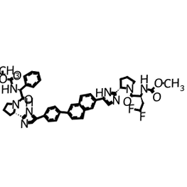 COC(=O)N[C@@H](CC(F)F)C(=O)N1CCC[C@H]1c1ncc(-c2ccc3cc(-c4ccc(-c5cnc([C@@H]6CCCN6C(=O)[C@H](NC(=O)OC)c6ccccc6)[nH]5)cc4)ccc3c2)[nH]1